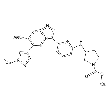 COc1cc2ncc(-c3cccc(NC4CCN(C(=O)OC(C)(C)C)C4)n3)n2nc1-c1cnn(PI)c1